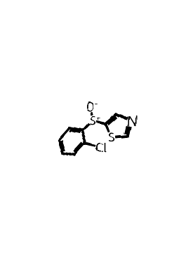 [O-][S+](c1cncs1)c1ccccc1Cl